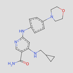 NC(=O)c1cnc(Nc2ccc(N3CCOCC3)cc2)cc1NCC1CC1